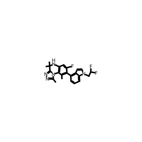 Cc1c(-c2cccc3c2ccn3CC(F)F)c(F)cc2c1-n1c(C)nnc1C(C)(C)N2